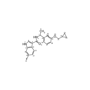 CC(NC(=O)c1c[nH]c2cc(F)ccc12)c1cccc(OCC2CC2)n1